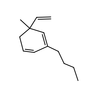 C=CC1(C)C=C(CCCC)C=CC1